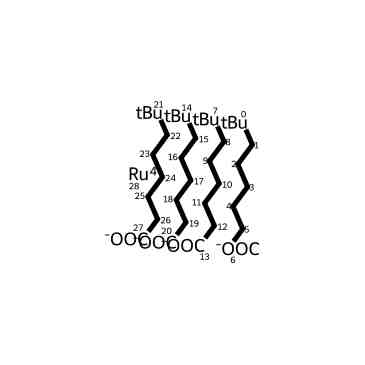 CC(C)(C)CCCCCC(=O)[O-].CC(C)(C)CCCCCC(=O)[O-].CC(C)(C)CCCCCC(=O)[O-].CC(C)(C)CCCCCC(=O)[O-].[Ru+4]